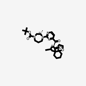 CC1C[C@@H](C(=O)c2ccnc(N3CCCN(C(=O)OC(C)(C)C)C[C@@H]3C)n2)C(=O)C2(CCCCC23OCCO3)C1